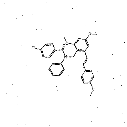 COc1ccc(C=Cc2cc(OC)cc(OC)c2CN(C(=O)c2ccc(Cl)cc2)c2ccccc2)cc1